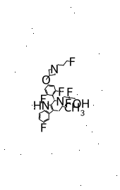 C[C@H]1Cc2c([nH]c3ccc(F)cc23)[C@@H](c2c(F)cc(OC3CN(CCCF)C3)cc2F)N1CC(F)(F)CO